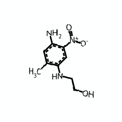 Cc1cc(N)c([N+](=O)[O-])cc1NCCO